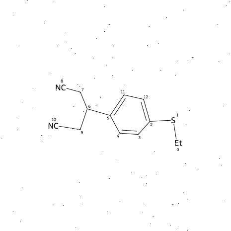 CCSc1ccc(C(CC#N)CC#N)cc1